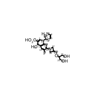 CC[C@@H](S/C=C\N)N1C=C(C(=O)O)C(O)c2cc(F)c(N3CC(=NOC(CO)CO)C3)nc21